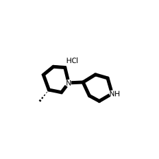 C[C@@H]1CCCN(C2CCNCC2)C1.Cl